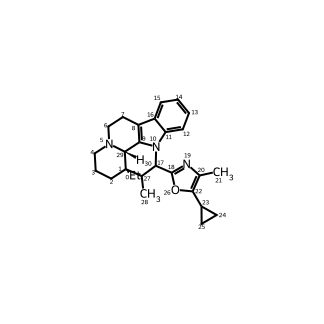 CC[C@]12CCCN3CCc4c(n(c5ccccc45)C(c4nc(C)c(C5CC5)o4)C1C)[C@@H]32